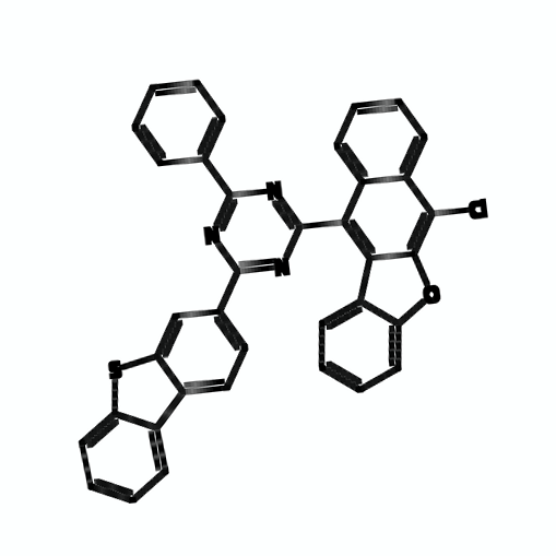 Clc1c2ccccc2c(-c2nc(-c3ccccc3)nc(-c3ccc4c(c3)sc3ccccc34)n2)c2c1oc1ccccc12